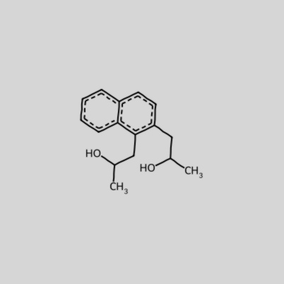 CC(O)Cc1ccc2ccccc2c1CC(C)O